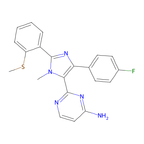 CSc1ccccc1-c1nc(-c2ccc(F)cc2)c(-c2nccc(N)n2)n1C